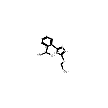 O=C(O)CSc1nnc(-c2ccccc2C(O)O)[nH]1